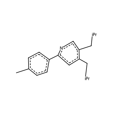 Cc1ccc(-c2cc(CC(C)C)c(CC(C)C)cn2)cc1